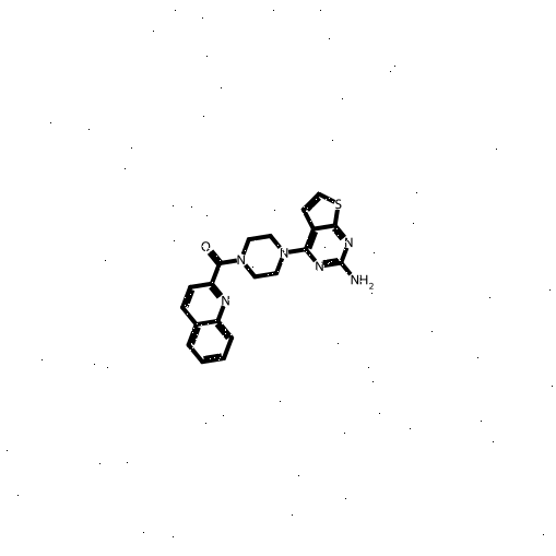 Nc1nc(N2CCN(C(=O)c3ccc4ccccc4n3)CC2)c2ccsc2n1